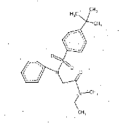 CCN(C)C(=O)CN(c1ccccc1)S(=O)(=O)c1ccc(C(C)(C)C)cc1